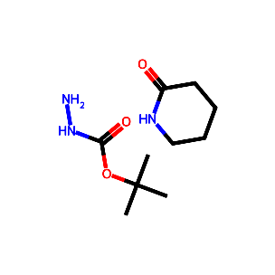 CC(C)(C)OC(=O)NN.O=C1CCCCN1